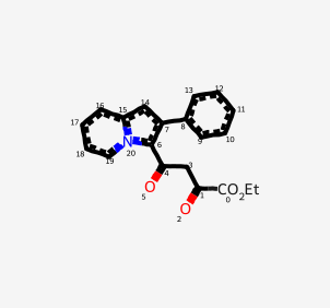 CCOC(=O)C(=O)CC(=O)c1c(-c2ccccc2)cc2ccccn12